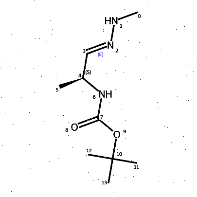 CN/N=C/[C@H](C)NC(=O)OC(C)(C)C